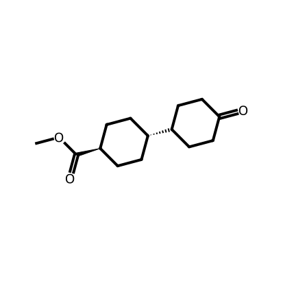 COC(=O)[C@H]1CC[C@H](C2CCC(=O)CC2)CC1